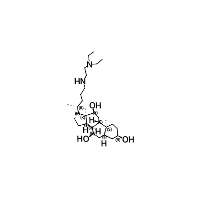 CCN(CC)CCNCCC[C@@H](C)[C@H]1CC[C@H]2[C@@H]3[C@H](O)C[C@@H]4C[C@H](O)CC[C@]4(C)[C@H]3C[C@H](O)[C@]12C